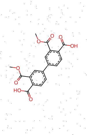 COC(=O)c1cc(-c2ccc(C(=O)O)c(C(=O)OC)c2)ccc1C(=O)O